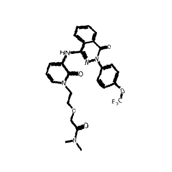 CN(C)C(=O)COCCn1cccc(Nc2nn(-c3ccc(OC(F)(F)F)cc3)c(=O)c3ccccc23)c1=O